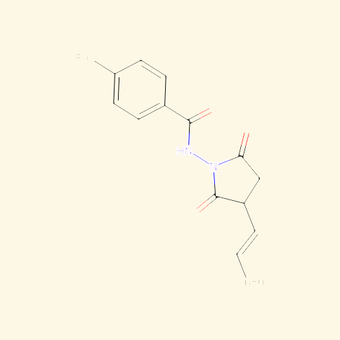 CCCCC=CC1CC(=O)N(NC(=O)c2ccc(C(F)(F)F)cc2)C1=O